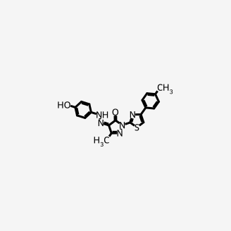 CC1=NN(c2nc(-c3ccc(C)cc3)cs2)C(=O)/C1=N\Nc1ccc(O)cc1